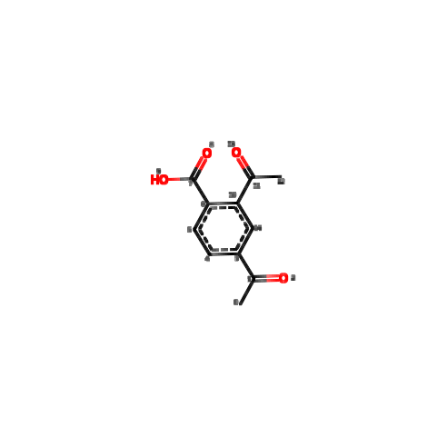 CC(=O)c1ccc(C(=O)O)c(C(C)=O)c1